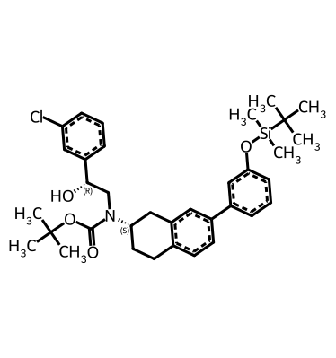 CC(C)(C)OC(=O)N(C[C@H](O)c1cccc(Cl)c1)[C@H]1CCc2ccc(-c3cccc(O[Si](C)(C)C(C)(C)C)c3)cc2C1